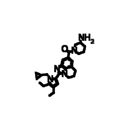 CCc1cc(-c2nc3cc(C(=O)N4CCCC(N)C4)cc4c3n2CCC4)n(CC2CC2)c1CC